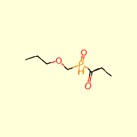 CCCOC[PH](=O)C(=O)CC